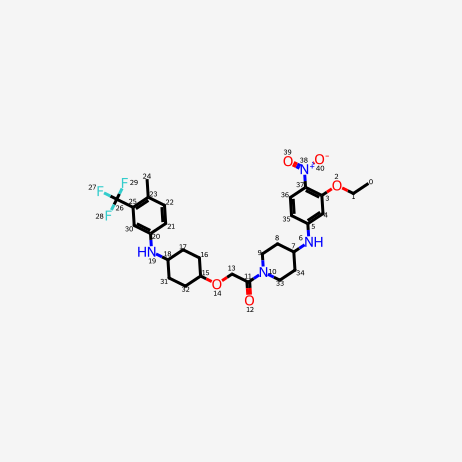 CCOc1cc(NC2CCN(C(=O)COC3CCC(Nc4ccc(C)c(C(F)(F)F)c4)CC3)CC2)ccc1[N+](=O)[O-]